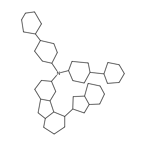 C1CCC(C2CCC(N(C3CCC(C4CCCCC4)CC3)C3CCC4CC5CCCC(C6CC7CCCCC7C6)C5C4C3)CC2)CC1